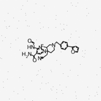 N#CCC1(n2cc(C(N)=O)c(NC=O)n2)CCN(Cc2ccc(-c3ccco3)cc2)CC1F